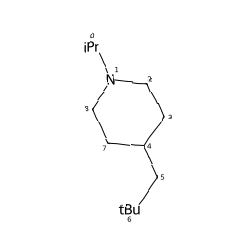 CC(C)N1CCC(CC(C)(C)C)CC1